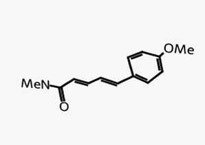 CNC(=O)/C=C/C=C/c1ccc(OC)cc1